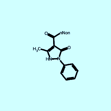 CCCCCCCCCC(=O)c1c(C)[nH]n(-c2ccccc2)c1=O